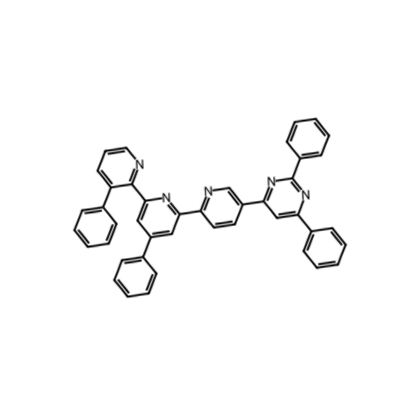 c1ccc(-c2cc(-c3ccc(-c4cc(-c5ccccc5)nc(-c5ccccc5)n4)cn3)nc(-c3ncccc3-c3ccccc3)c2)cc1